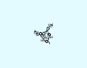 CCc1ccc(NC(=O)CN(Cc2ccccc2CN(C)C(=O)OC(C)(C)C)C(=O)C2(C)CCN(CC(=O)N3CCN(C(=O)OC(C)(C)C)CC3)CC2)cc1CC(=O)Nc1ccccn1